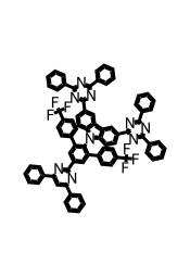 FC(F)(F)c1ccc(-c2cc(-c3nc(-c4ccccc4)cc(-c4ccccc4)n3)cc(-c3ccc(C(F)(F)F)cc3)c2-n2c3ccc(-c4nc(-c5ccccc5)nc(-c5ccccc5)n4)cc3c3cc(-c4nc(-c5ccccc5)nc(-c5ccccc5)n4)ccc32)cc1